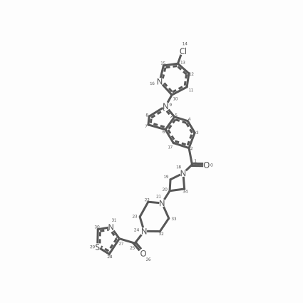 O=C(c1ccc2c(ccn2-c2ccc(Cl)cn2)c1)N1CC(N2CCN(C(=O)c3cscn3)CC2)C1